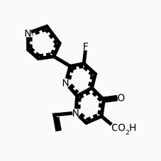 C=Cn1cc(C(=O)O)c(=O)c2cc(F)c(-c3ccncc3)nc21